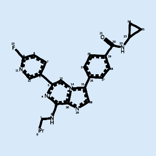 CC(C)CNc1nc(-c2ccc(F)nc2)cn2c(-c3ccc(C(=O)NC4CC4)cc3)cnc12